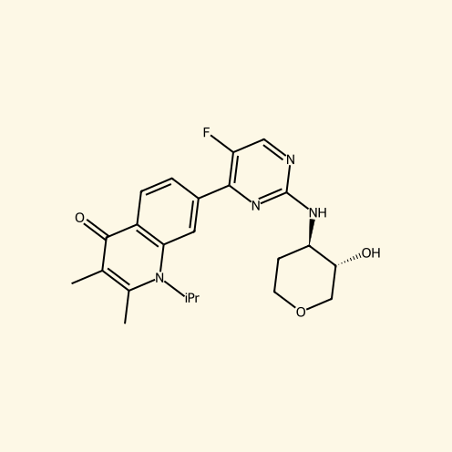 Cc1c(C)n(C(C)C)c2cc(-c3nc(N[C@@H]4CCOC[C@H]4O)ncc3F)ccc2c1=O